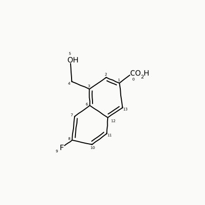 O=C(O)c1cc(CO)c2cc(F)ccc2c1